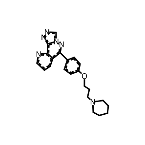 c1cnc2c(c1)c(-c1ccc(OCCCN3CCCCC3)cc1)nn1cnnc21